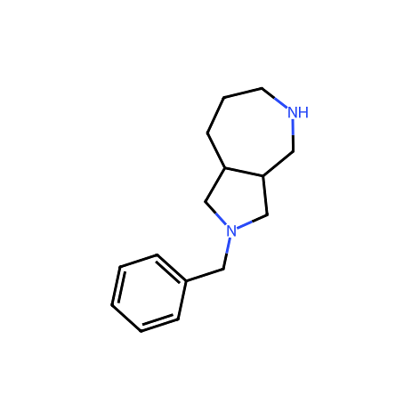 c1ccc(CN2CC3CCCNCC3C2)cc1